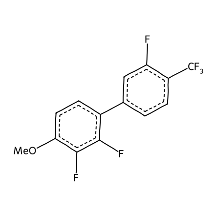 COc1ccc(-c2ccc(C(F)(F)F)c(F)c2)c(F)c1F